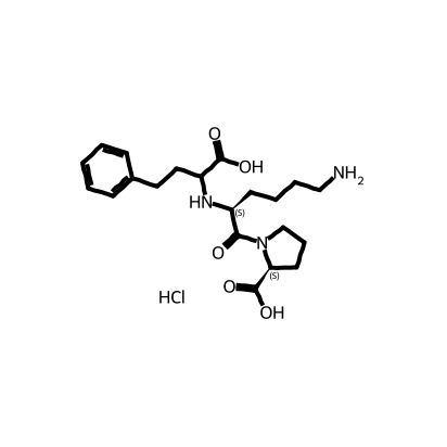 Cl.NCCCC[C@H](NC(CCc1ccccc1)C(=O)O)C(=O)N1CCC[C@H]1C(=O)O